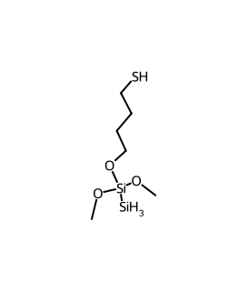 CO[Si]([SiH3])(OC)OCCCCS